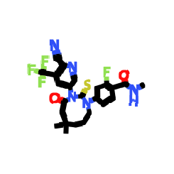 CNC(=O)c1ccc(N2CCCC(C)(C)CC(=O)N(c3cnc(C#N)c(C(F)(F)F)c3)C2=S)cc1F